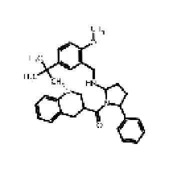 COc1ccc(C(C)(C)C)cc1CNC1CCC(c2ccccc2)N1C(=O)C1COc2ccccc2C1